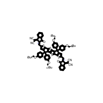 CC[C@@H](C)COc1ccc(C2(c3ccc(OC[C@@H](C)CC)cc3)c3cc(/C=C4\C(=O)c5ccccc5C4=C(C#N)C#N)sc3-c3sc4c5c(sc4c32)-c2sc(/C=C3\C(=O)c4ccccc4C3=C(C#N)C#N)cc2C5(c2ccc(OC[C@H](C)CC)cc2)c2ccc(OC[C@@H](C)CC)cc2)cc1